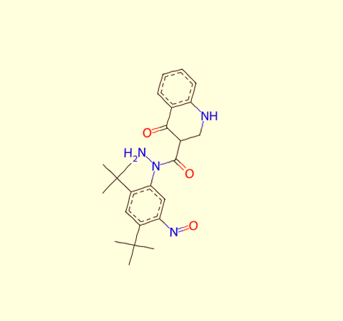 CC(C)(C)c1cc(C(C)(C)C)c(N(N)C(=O)C2CNc3ccccc3C2=O)cc1N=O